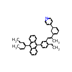 C=C/C=C(\C=C/C)c1c2ccccc2c(-c2ccc(C=C)c(/C=C(\C)C3=CC=CC(c4ccncc4)C3)c2)c2ccccc12